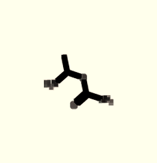 CC(N)OC(N)=O